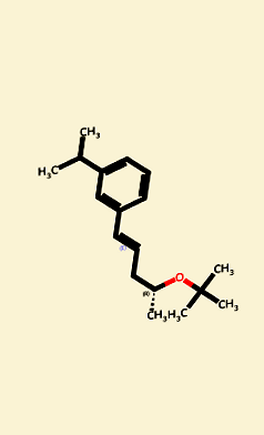 CC(C)c1cccc(/C=C/C[C@@H](C)OC(C)(C)C)c1